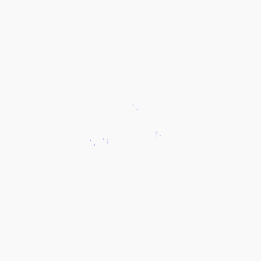 CC(F)c1nnc(-c2cnc(CN(c3ccccc3)S(C)(=O)=O)s2)o1